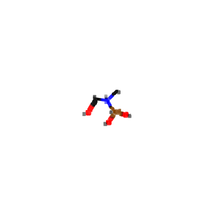 CN(C=O)[SH](=O)=O